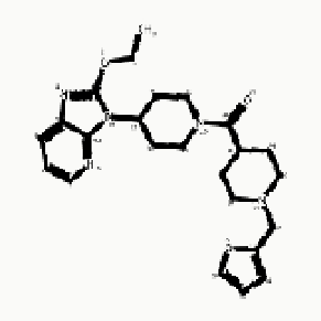 CCOc1nc2cccnc2n1C1CCN(C(=O)C2CCN(Cc3ccco3)CC2)CC1